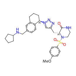 COc1ccc(S(=O)(=O)N2CCNC(=O)[C@H]2Cc2cn([C@@H]3CCCc4cc(CNC5CCCC5)ccc43)nn2)cc1